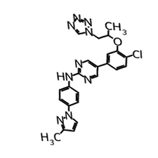 Cc1ccn(-c2ccc(Nc3ncc(-c4ccc(Cl)c(OC(C)Cn5cnnn5)c4)cn3)cc2)n1